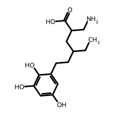 CCC(CCc1cc(O)cc(O)c1O)CC(CN)C(=O)O